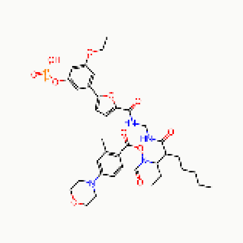 CCCCCC(C(=O)NCNC(=O)c1ccc(-c2cc(OCC)cc(O[PH](=O)O)c2)o1)C(CC)N(C=O)OC(=O)c1ccc(N2CCOCC2)cc1C